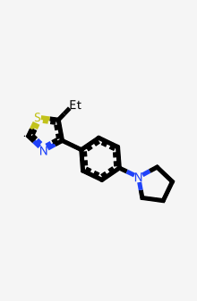 CCc1s[c]nc1-c1ccc(N2CCCC2)cc1